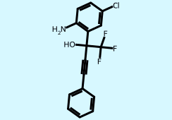 Nc1ccc(Cl)cc1C(O)(C#Cc1ccccc1)C(F)(F)F